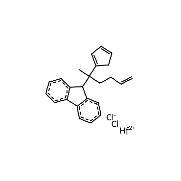 C=CCCC(C)(C1=CC=CC1)C1c2ccccc2-c2ccccc21.[Cl-].[Cl-].[Hf+2]